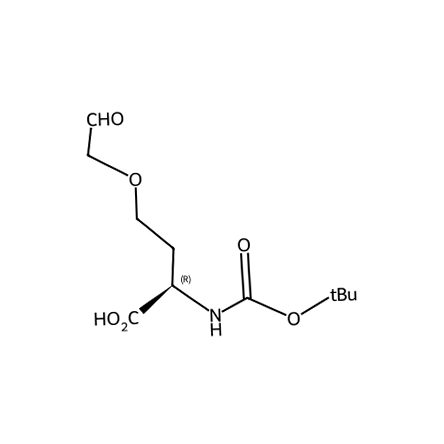 CC(C)(C)OC(=O)N[C@H](CCOCC=O)C(=O)O